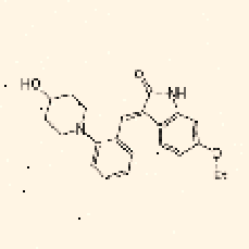 CCOc1ccc2c(c1)NC(=O)/C2=C/c1ccccc1N1CCC(O)CC1